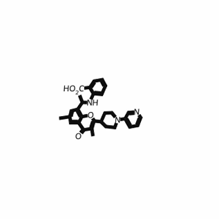 Cc1cc(C(C)Nc2ccccc2C(=O)O)c2oc(C3CCN(c4cccnc4)CC3)c(C)c(=O)c2c1